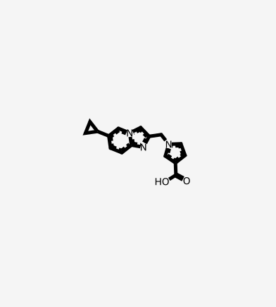 O=C(O)c1ccn(Cc2cn3cc(C4CC4)ccc3n2)c1